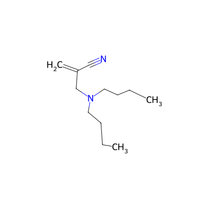 C=C(C#N)CN(CCCC)CCCC